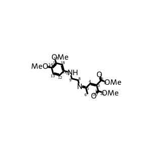 COC(=O)C(=C/C(C)=N\CCNc1ccc(OC)c(OC)c1)C(=O)OC